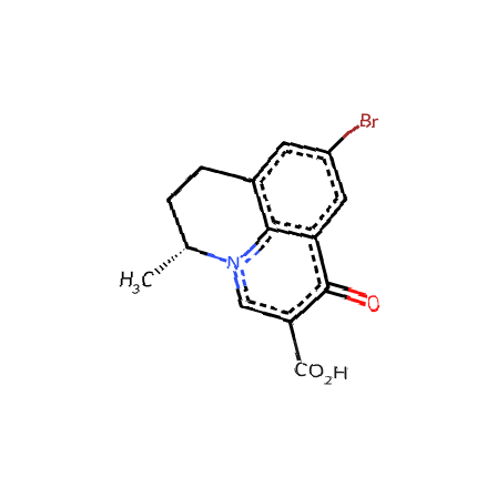 C[C@@H]1CCc2cc(Br)cc3c(=O)c(C(=O)O)cn1c23